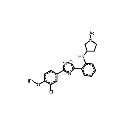 CC(=O)N1CCC(Nc2ccccc2-c2nc(-c3ccc(OC(C)C)c(Cl)c3)no2)C1